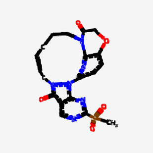 CS(=O)(=O)c1ncc2c(=O)n3n(c2n1)-c1ccc2c(n1)N(CCC/C=C\C3)C(=O)CO2